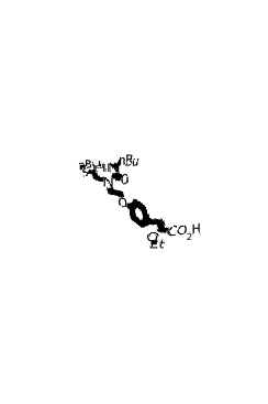 CCCCNC(=O)N(CCOc1ccc(CC(OCC)C(=O)O)cc1)CCSCCCC